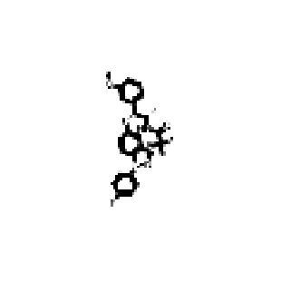 COc1cccc([C@@H](Oc2ccc3c(cnn3-c3ccc(F)cc3)c2)[C@H](C)NC(=O)C(C)(F)F)c1